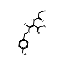 COc1ccc(CN/C(C)=C(/NC(=O)CO)C(C)=N)cc1